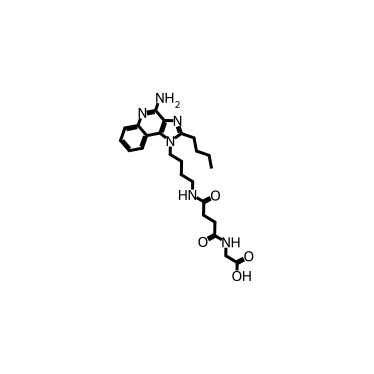 CCCCc1nc2c(N)nc3ccccc3c2n1CCCCNC(=O)CCC(=O)NCC(=O)O